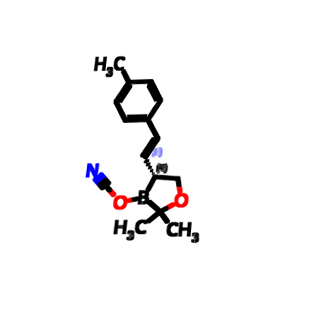 Cc1ccc(/C=C/[C@@H]2COC(C)(C)B2OC#N)cc1